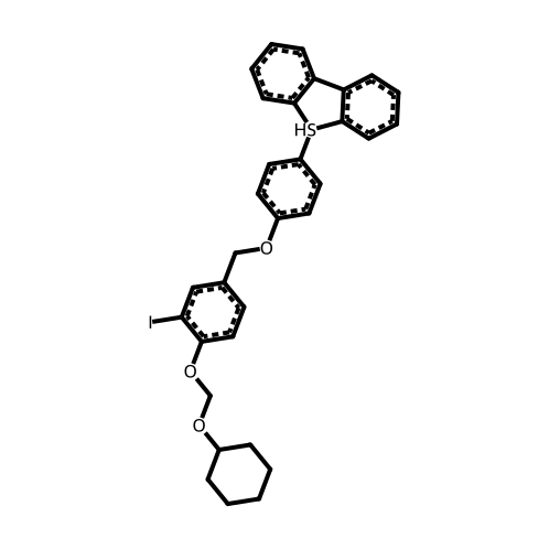 Ic1cc(COc2ccc([SH]3c4ccccc4-c4ccccc43)cc2)ccc1OCOC1CCCCC1